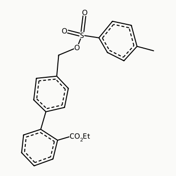 CCOC(=O)c1ccccc1-c1ccc(COS(=O)(=O)c2ccc(C)cc2)cc1